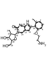 Cc1cccc(OCCN)c1-c1cc2cn(C3OC(CO)C(O)C3C)c(=O)nc2[nH]1